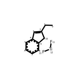 CCC1=Cc2ccccc2[CH]1.[F][Ti][F]